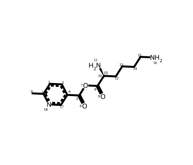 Cc1ccc(C(=O)OC(=O)[C@@H](N)CCCCN)cn1